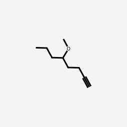 C#CCCC(CCC)OC